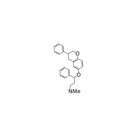 CNCCC(Oc1ccc2c(c1)CC(c1ccccc1)CO2)c1ccccc1